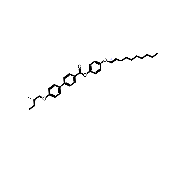 CCCCCCCC/C=C/Oc1ccc(OC(=O)c2ccc(-c3ccc(OC[C@@H](C)CC)cc3)cc2)cc1